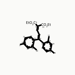 CCOC(=O)C(=CC=C(c1ccc(C)cc1C)c1ccc(C)cc1C)C(=O)OCC